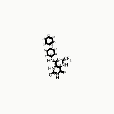 C=C1NC(=O)NC(C(=O)N[C@H]2CC[C@@H](c3ccccc3)CC2)=C1NCC(F)(F)F